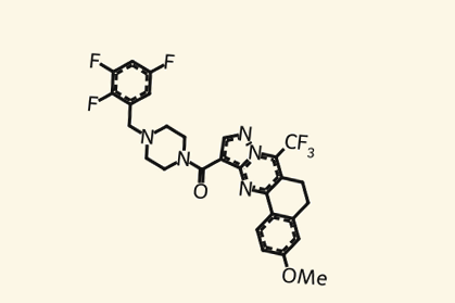 COc1ccc2c(c1)CCc1c-2nc2c(C(=O)N3CCN(Cc4cc(F)cc(F)c4F)CC3)cnn2c1C(F)(F)F